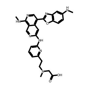 CNc1ccc2oc(-c3cnc(NC)c4cnc(Nc5cccc(CCN(C)CC(=O)O)n5)cc34)nc2c1